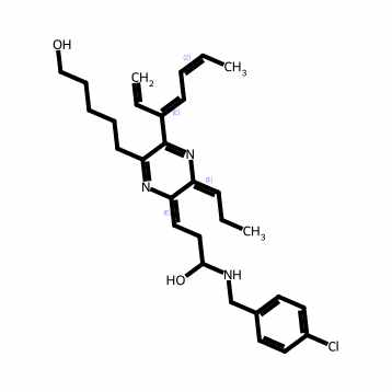 C=C/C(=C\C=C/C)c1nc(=C/CC)/c(=C\CC(O)NCc2ccc(Cl)cc2)nc1CCCCCO